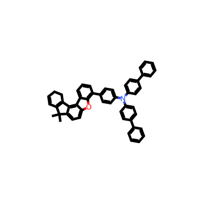 CC1(C)C2=C(CCC=C2)c2c1ccc1oc3c(-c4ccc(N(c5ccc(-c6ccccc6)cc5)c5ccc(-c6ccccc6)cc5)cc4)cccc3c21